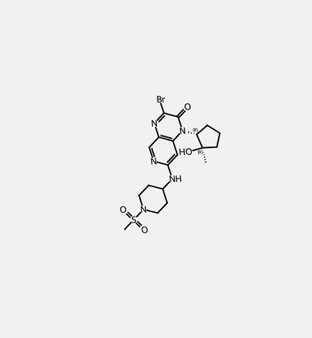 C[C@@]1(O)CCC[C@H]1n1c(=O)c(Br)nc2cnc(NC3CCN(S(C)(=O)=O)CC3)cc21